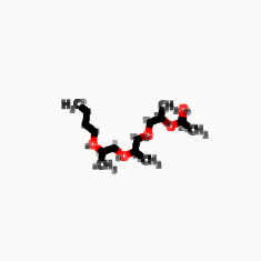 CCCCOC(C)COC(C)COCC(C)OC(C)=O